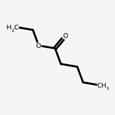 [CH2]COC(=O)CCCC